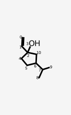 C=CC1(O)CCC(C(C)C)C1